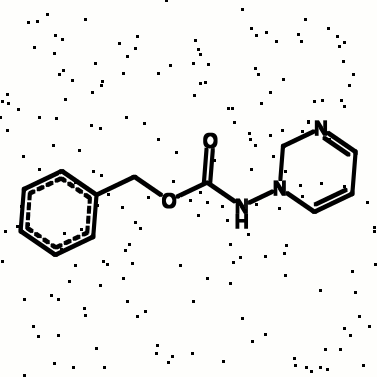 O=C(NN1C=CC=NC1)OCc1ccccc1